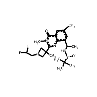 Cc1cc([C@@H](C)N[S@+]([O-])C(C)(C)C)c2nc(C3(C)CN(CC(F)F)C3)n(C)c(=O)c2c1